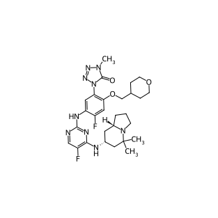 Cn1nnn(-c2cc(Nc3ncc(F)c(N[C@@H]4C[C@@H]5CCCN5C(C)(C)C4)n3)c(F)cc2OCC2CCOCC2)c1=O